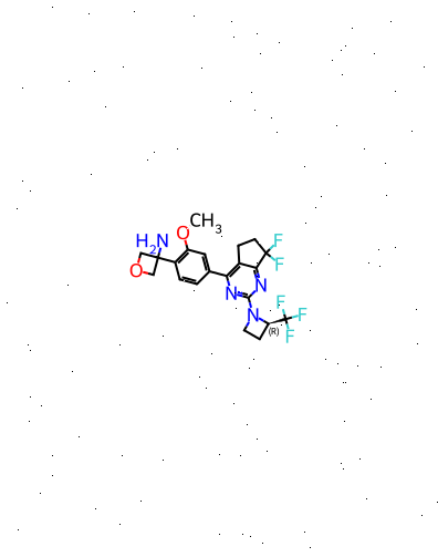 COc1cc(-c2nc(N3CC[C@@H]3C(F)(F)F)nc3c2CCC3(F)F)ccc1C1(N)COC1